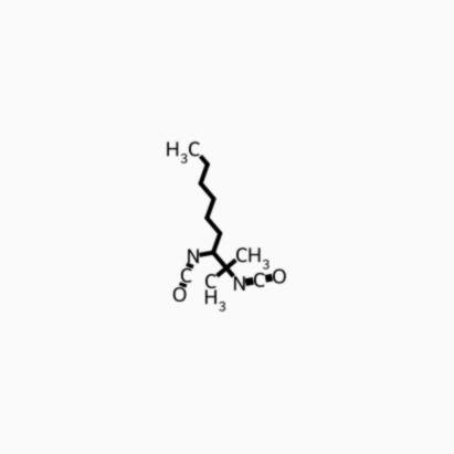 CCCCCCC(N=C=O)C(C)(C)N=C=O